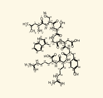 CC(C)C[C@H](N)C(=O)N[C@@H](CO)C(=O)N[C@@H](CO)C(=O)N[C@@H](Cc1c[nH]c2ccccc12)C(=O)N[C@@H](CC(=O)O)C(=O)N[C@@H](Cc1ccc(O)cc1)C(=O)N[C@@H](CCCNC(=N)N)C(=O)N[C@@H](CCCNC(=N)N)C(=O)O